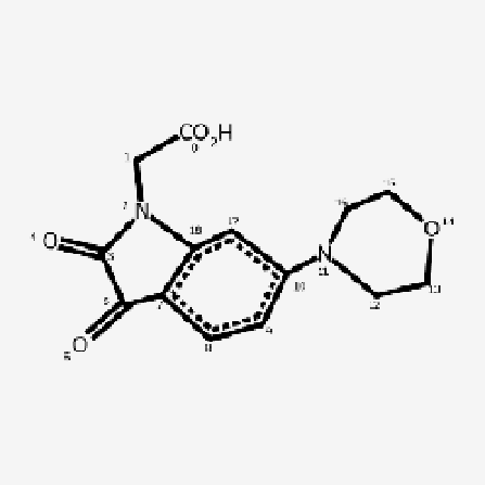 O=C(O)CN1C(=O)C(=O)c2ccc(N3CCOCC3)cc21